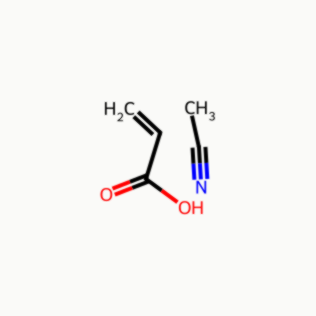 C=CC(=O)O.CC#N